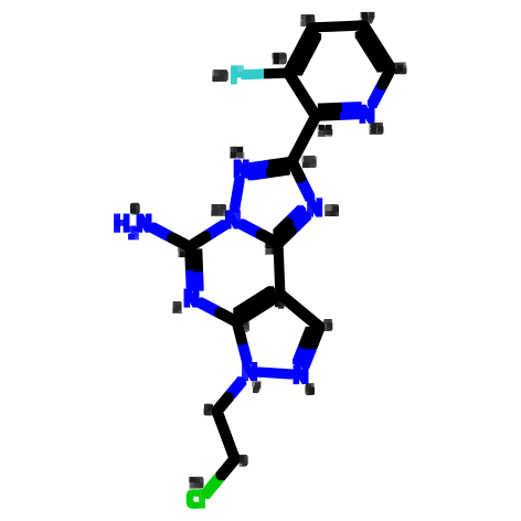 Nc1nc2c(cnn2CCCl)c2nc(-c3ncccc3F)nn12